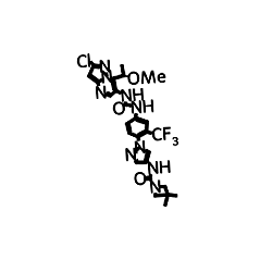 CO[C@@H](C)c1c(NC(=O)Nc2ccc(-n3cc(NC(=O)N4CC(C)(C)C4)cn3)c(C(F)(F)F)c2)cnc2cc(Cl)nn12